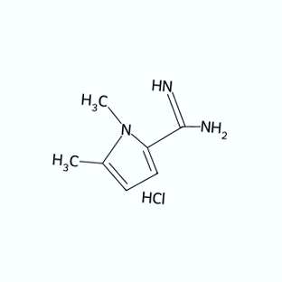 Cc1ccc(C(=N)N)n1C.Cl